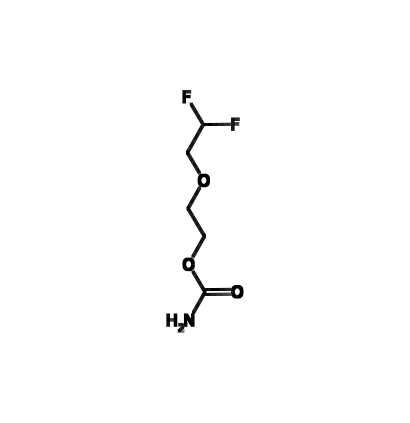 NC(=O)OCCOCC(F)F